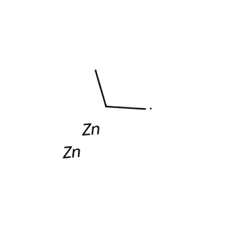 [CH2]CC.[Zn].[Zn]